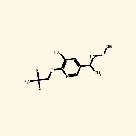 Cc1cc(C(C)NSC(C)(C)C)cnc1OCC(C)(F)F